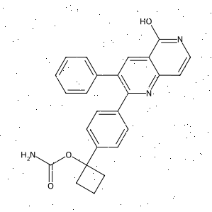 NC(=O)OC1(c2ccc(-c3nc4ccnc(O)c4cc3-c3ccccc3)cc2)CCC1